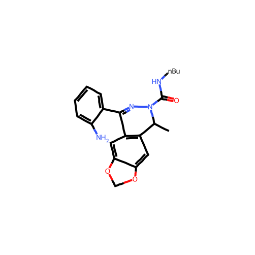 CCCCNC(=O)N1N=C(c2ccccc2N)c2cc3c(cc2C1C)OCO3